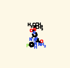 CC(C)(C)COC(=O)N1CC[C@H](n2cc(C(N)=O)c(Nc3ccc(F)cc3)n2)[C@H](C#N)C1